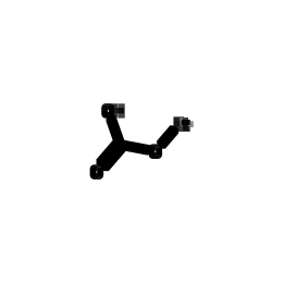 C[CH]OC(=O)O